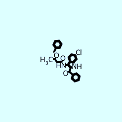 CC(CC(=O)Nc1c(C(=O)c2ccccc2)[nH]c2cc(Cl)ccc12)OCc1ccccc1